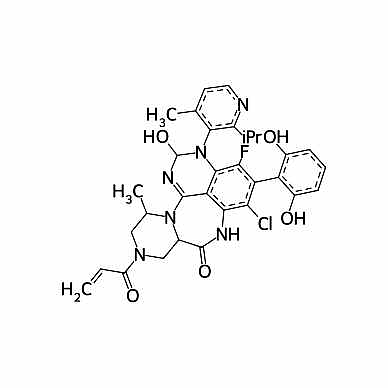 C=CC(=O)N1CC(C)N2C3=NC(O)N(c4c(C)ccnc4C(C)C)c4c(F)c(-c5c(O)cccc5O)c(Cl)c(c43)NC(=O)C2C1